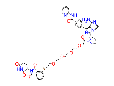 Nc1nccn2c([C@@H]3CCCN3C(=O)COCCOCCOCCOCCSc3cccc4c3C(=O)N(C3CCC(=O)NC3=O)C4=O)nc(-c3ccc(C(=O)Nc4ccccn4)cc3)c12